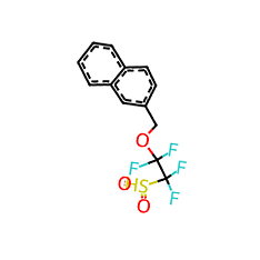 O=[SH](=O)C(F)(F)C(F)(F)OCc1ccc2ccccc2c1